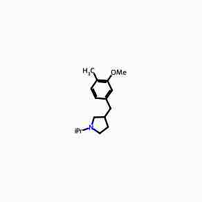 COc1cc(CC2CCN(C(C)C)C2)ccc1C